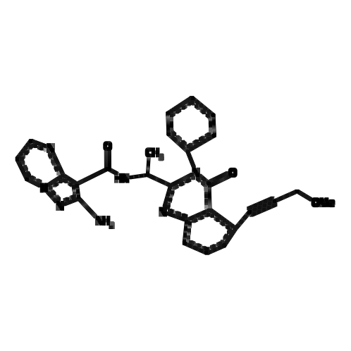 COCC#Cc1cccc2nc(C(C)NC(=O)c3c(N)nn4cccnc34)n(-c3ccccc3)c(=O)c12